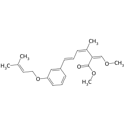 COC=C(C(=O)OC)C(C)=CC=Cc1cccc(OCC=C(C)C)c1